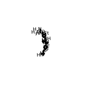 CCc1cc(Nc2nccn3c(-c4ccc(OCc5cc[nH]n5)c(F)c4F)cnc23)ccc1C(=O)N[C@@H](C)CN